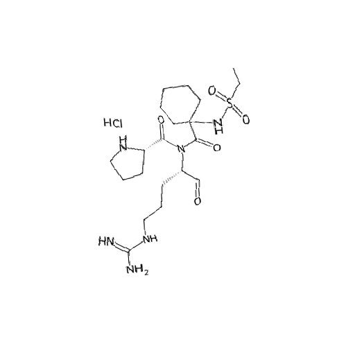 CCS(=O)(=O)NC1(C(=O)N(C(=O)[C@@H]2CCCN2)[C@H](C=O)CCCNC(=N)N)CCCCC1.Cl